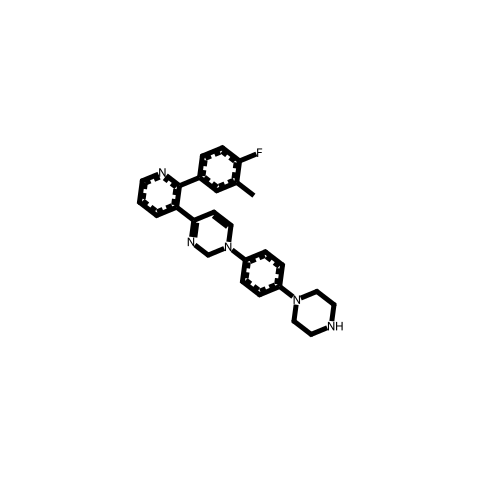 Cc1cc(-c2ncccc2C2=NCN(c3ccc(N4CCNCC4)cc3)C=C2)ccc1F